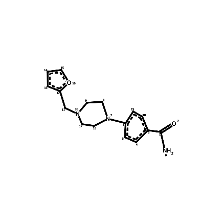 NC(=O)c1ccc(N2CCN(Cc3ccco3)CC2)cc1